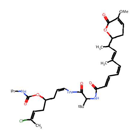 COC1=CCC(C(C)/C=C(C)/C=C\C=C\C(=O)NC(C(=O)N/C=C\CC(C/C=C(\C)Cl)OC(=O)NC(C)C)C(C)(C)C)OC1=O